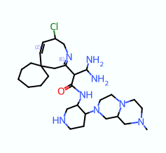 CN1CCN2CCN(C3CCNCC3NC(=O)C(/C3=N/CC(Cl)/C=C\C4(CCCCCC4)C3)C(N)N)CC2C1